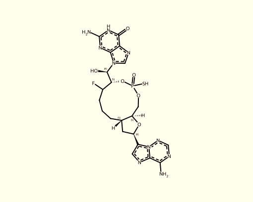 Nc1nc2c(ncn2[C@H](O)[C@@H]2OP(=O)(S)OC[C@H]3O[C@@H](c4cnc5c(N)ncnn45)C[C@@H]3CCCC2F)c(=O)[nH]1